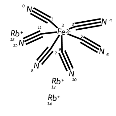 N#[C][Fe-3]([C]#N)([C]#N)([C]#N)([C]#N)[C]#N.[Rb+].[Rb+].[Rb+]